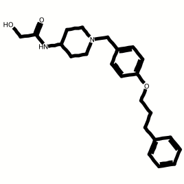 O=C(CO)NC1CCN(Cc2ccc(OCCCc3ccccc3)cc2)CC1